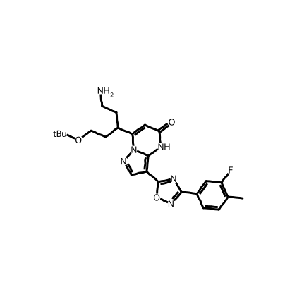 Cc1ccc(-c2noc(-c3cnn4c(C(CCN)CCOC(C)(C)C)cc(=O)[nH]c34)n2)cc1F